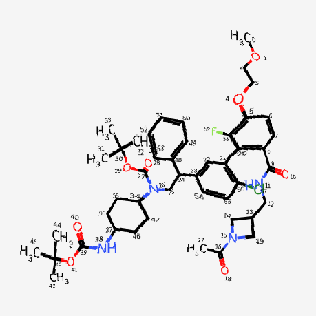 COCCOc1ccc(C(=O)NCC2CN(C(C)=O)C2)c(-c2cc(C(CN(C(=O)OC(C)(C)C)C3CCC(NC(=O)OC(C)(C)C)CC3)c3ccccc3)ccc2Cl)c1F